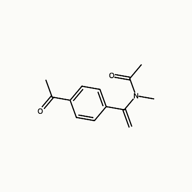 C=C(c1ccc(C(C)=O)cc1)N(C)C(C)=O